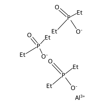 CCP(=O)([O-])CC.CCP(=O)([O-])CC.CCP(=O)([O-])CC.[Al+3]